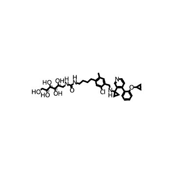 Cc1cc(CNC2(c3cnccc3-c3ccccc3OC3CC3)CC2)c(Cl)cc1CCCCNC(=O)NC[C@H](O)[C@@H](O)[C@H](O)[C@H](O)CO